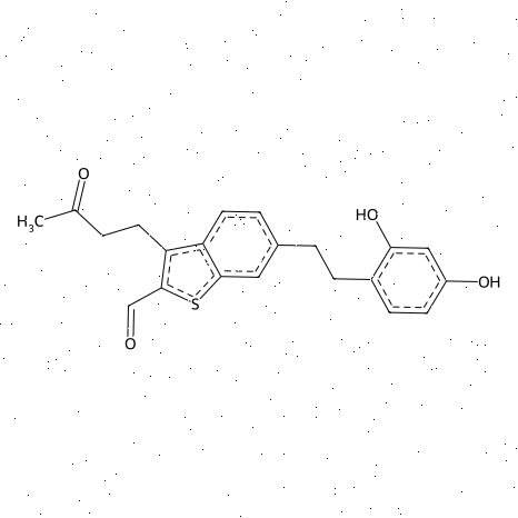 CC(=O)CCc1c(C=O)sc2cc(CCc3ccc(O)cc3O)ccc12